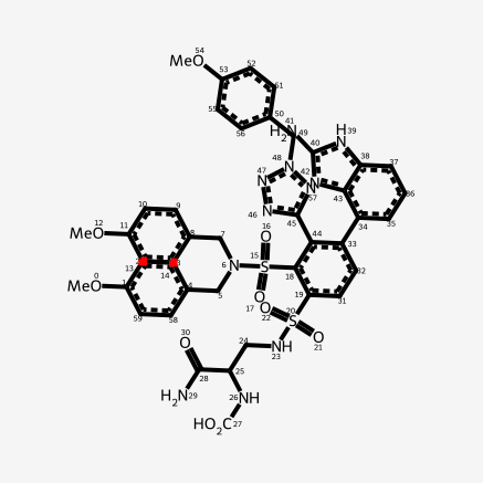 COc1ccc(CN(Cc2ccc(OC)cc2)S(=O)(=O)c2c(S(=O)(=O)NCC(NC(=O)O)C(N)=O)ccc(-c3cccc4[nH]c(N)nc34)c2-c2nnn(Cc3ccc(OC)cc3)n2)cc1